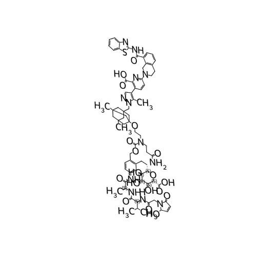 Cc1c(-c2ccc(N3CCc4cccc(C(=O)Nc5nc6ccccc6s5)c4C3)nc2C(=O)O)cnn1CC12CC3(C)CC(C)(C1)CC(OCCN(CCC(N)=O)C(=O)OCc1ccc(NC(=O)[C@H](C)NC(=O)[C@@H](NC(=O)CN4C(=O)C=CC4O)C(C)C)cc1CC[C@@H]1O[C@H](C(=O)O)[C@@H](O)[C@H](O)[C@H]1O)(C3)C2